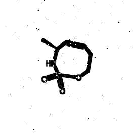 C[C@H]1/C=C\CCOS(=O)(=O)N1